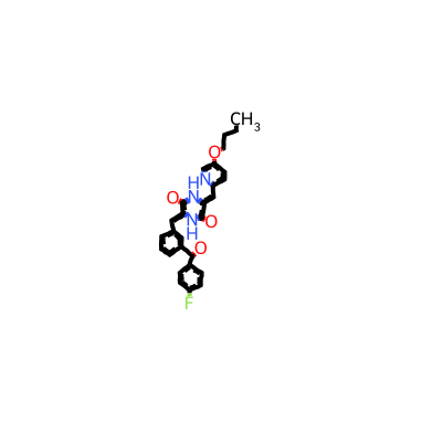 CCCCOc1ccc(C=c2[nH]c(=O)c(=Cc3cccc(C(=O)c4ccc(F)cc4)c3)[nH]c2=O)nc1